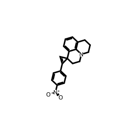 O=[N+]([O-])c1ccc(C2=CC23CCN2CCCc4cccc3c42)cc1